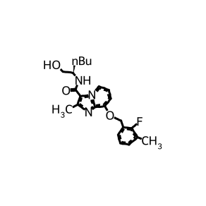 CCCC[C@H](CO)NC(=O)c1c(C)nc2c(OCc3cccc(C)c3F)cccn12